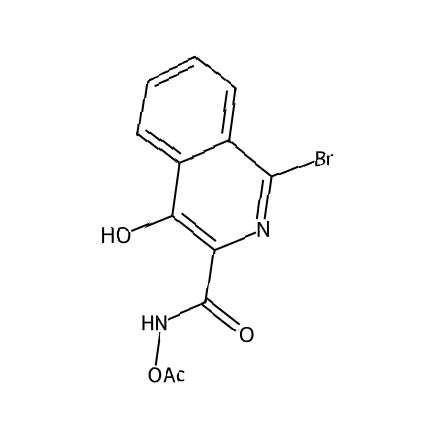 CC(=O)ONC(=O)c1nc(Br)c2ccccc2c1O